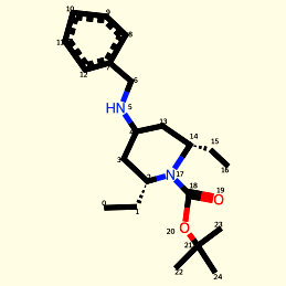 CC[C@@H]1CC(NCc2ccccc2)C[C@H](CC)N1C(=O)OC(C)(C)C